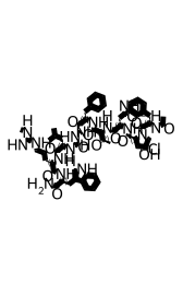 CNC(=N)NCCC[C@H](NC(=O)[C@H](CC(C)C)NC(=O)NNC(=O)[C@H](Cc1ccccc1)NC(=O)[C@@H](NC(=O)[C@H](CC(N)=O)NC(=O)[C@@H]1C[C@](O)(Cl)CN1C(=O)[C@H](Cc1ccccc1)NC(C)=O)[C@@H](C)O)C(=O)N[C@@H](Cc1c[nH]c2ccccc12)C(N)=O